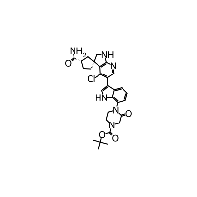 CC(C)(C)OC(=O)N1CCN(c2cccc3c(-c4cnc5c(c4Cl)[C@]4(CC[C@H](C(N)=O)C4)CN5)c[nH]c23)C(=O)C1